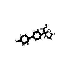 Cc1ccc(-c2ccc(C3(CBr)OCCO3)cc2)cc1